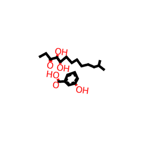 CCC(=O)C(O)C(O)CCCCCCC(C)C.O=C(O)c1cccc(O)c1